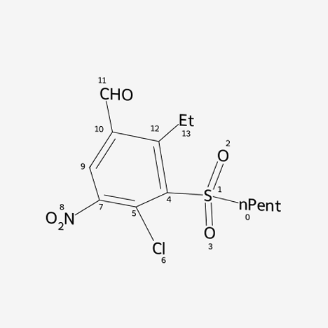 CCCCCS(=O)(=O)c1c(Cl)c([N+](=O)[O-])cc(C=O)c1CC